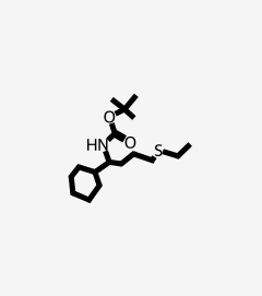 CCSCCCC(NC(=O)OC(C)(C)C)C1CCCCC1